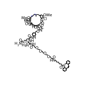 COc1cc2cc(c1Cl)N(C)C(=O)C[C@H](OC(=O)[C@H](C)N(C)C(=O)OCc1ccc(NC(=O)[C@H](CCCNC(N)=O)NC(=O)[C@@H](NC(=O)CCOCCOCCOCCOCCC(=O)NCCCCCC(=O)N3Cc4ccccc4C#Cc4ccccc43)C(C)C)cc1)[C@]1(C)O[C@H]1[C@H](C)[C@@H]1C[C@@](O)(NC(=O)O1)[C@H](OC)/C=C/C=C(\C)C2